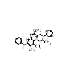 COC(=O)[C@H]1CN(c2cnccn2)C(C)CN1c1nnc(Nc2ccccc2)c(C)c1C